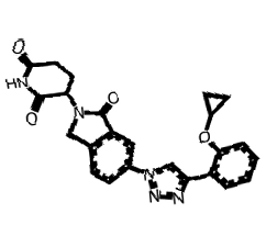 O=C1CCC(N2Cc3ccc(-n4cc(-c5ccccc5OC5CC5)nn4)cc3C2=O)C(=O)N1